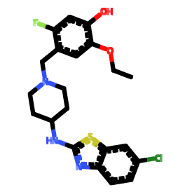 CCOc1cc(CN2CCC(Nc3nc4ccc(Cl)cc4s3)CC2)c(F)cc1O